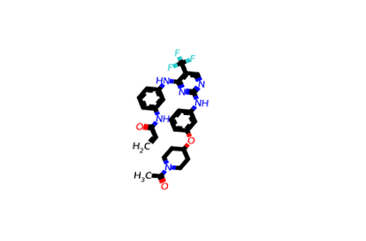 C=CC(=O)Nc1cccc(Nc2nc(Nc3cccc(OC4CCN(C(C)=O)CC4)c3)ncc2C(F)(F)F)c1